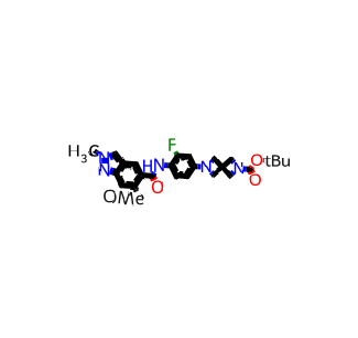 COc1cc2nn(C)cc2cc1C(=O)Nc1ccc(N2CC3(CN(C(=O)OC(C)(C)C)C3)C2)cc1F